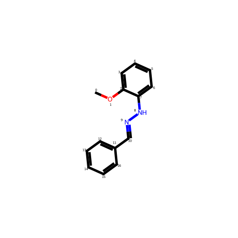 COc1ccccc1N/N=C/c1ccccc1